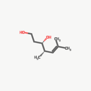 CC(C)=C[C@H](C)[C@@H](O)CCO